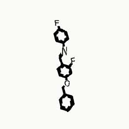 Fc1ccc(/N=C/c2ccc(OCc3ccccc3)cc2F)cc1